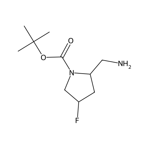 CC(C)(C)OC(=O)N1CC(F)CC1CN